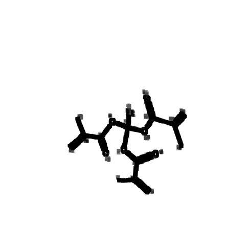 [CH2]CC(OC(=O)C(=C)C)(OC(=O)C(=C)C)OC(=O)C(=C)C